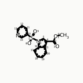 COC(=O)c1cn(S(=O)(=O)c2cccnc2)c2ccccc12